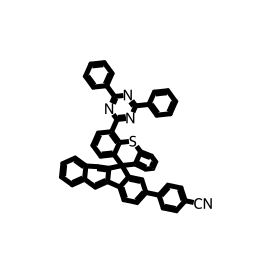 N#Cc1ccc(-c2ccc3c(c2)C2(c4ccccc4Sc4c(-c5nc(-c6ccccc6)nc(-c6ccccc6)n5)cccc42)c2cc4ccccc4cc2-3)cc1